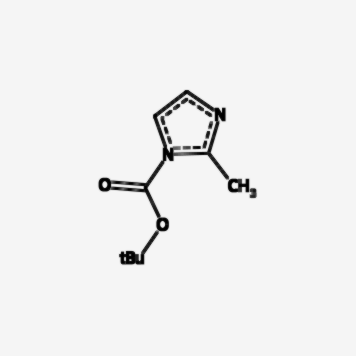 Cc1nccn1C(=O)OC(C)(C)C